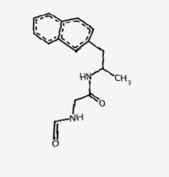 CC(Cc1ccc2ccccc2c1)NC(=O)CNC=O